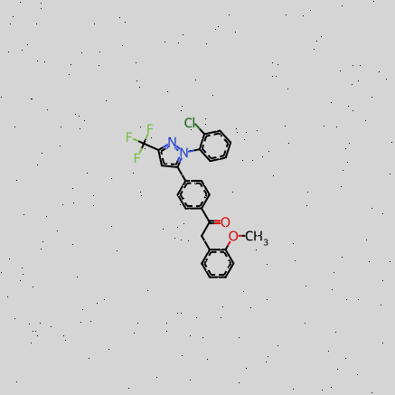 COc1ccccc1CC(=O)c1ccc(-c2cc(C(F)(F)F)nn2-c2ccccc2Cl)cc1